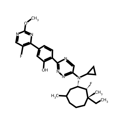 CC[C@]1(C)CCCC(C)C[C@H](N(c2cnc(-c3ccc(-c4nc(OC)ncc4F)cc3O)nn2)C2CC2)[C@@H]1F